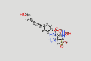 NC1(C(NC(=O)c2ccc(C#CC#CCCO)cc2)C(=O)NO)CS(=O)(=O)C1